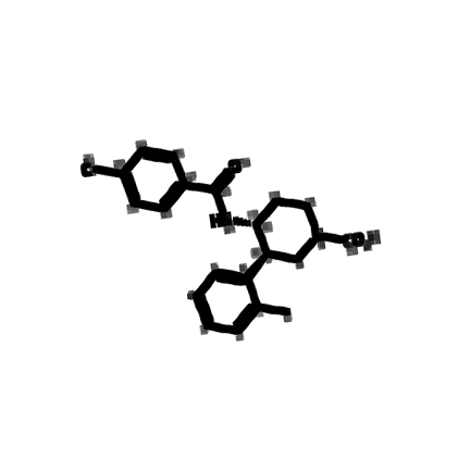 Cc1ccccc1[C@@H]1CN(C(=O)O)CC[C@H]1NC(=O)c1ccc(Cl)cc1